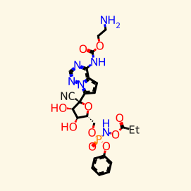 CCC(=O)ONP(=O)(OC[C@H]1O[C@@](C#N)(c2ccc3c(NC(=O)OCCN)ncnn23)[C@H](O)[C@@H]1O)Oc1ccccc1